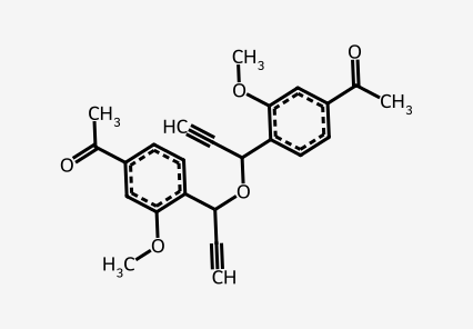 C#CC(OC(C#C)c1ccc(C(C)=O)cc1OC)c1ccc(C(C)=O)cc1OC